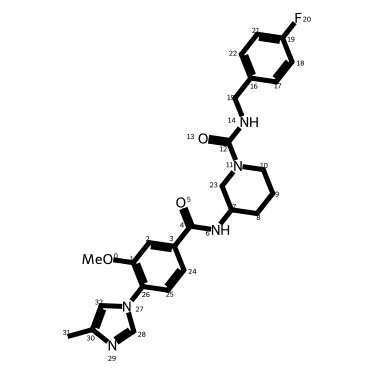 COc1cc(C(=O)NC2CCCN(C(=O)NCc3ccc(F)cc3)C2)ccc1-n1cnc(C)c1